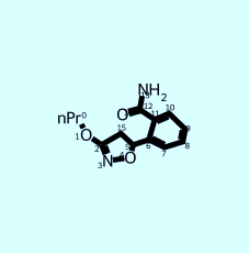 CCCOC1=NOC(c2ccccc2C(N)=O)C1